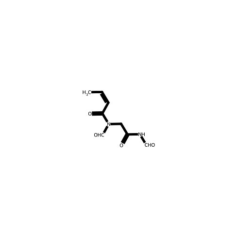 C/C=C\C(=O)N(C=O)CC(=O)NC=O